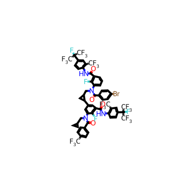 O=C(Nc1ccc(C(F)(C(F)(F)F)C(F)(F)F)cc1C(F)(F)F)c1cc(C2CC2CN(C(=O)c2ccc(Br)cc2)c2cccc(C(=O)Nc3ccc(C(F)(C(F)(F)F)C(F)(F)F)cc3C(F)(F)F)c2F)cc(N(CC2CC2)C(=O)c2ccc(C(F)(F)F)cc2)c1F